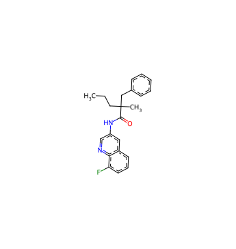 CCCC(C)(Cc1ccccc1)C(=O)Nc1cnc2c(F)cccc2c1